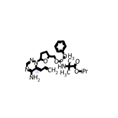 C=C/C=C1/C(N)=NC=NN1C1CCC(COP(NC(C)(C)C(=O)OC(C)C)Oc2ccccc2)O1